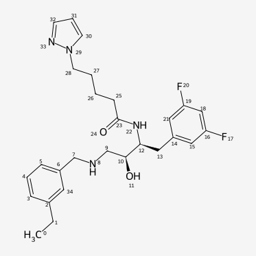 CCc1cccc(CNC[C@H](O)[C@H](Cc2cc(F)cc(F)c2)NC(=O)CCCCn2cccn2)c1